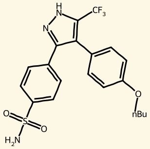 CCCCOc1ccc(-c2c(-c3ccc(S(N)(=O)=O)cc3)n[nH]c2C(F)(F)F)cc1